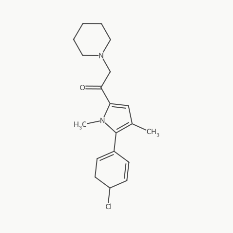 Cc1cc(C(=O)CN2CCCCC2)n(C)c1C1=CCC(Cl)C=C1